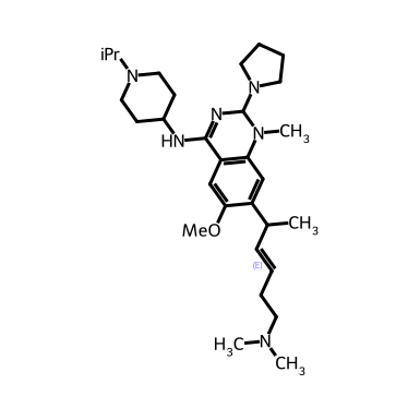 COc1cc2c(cc1C(C)/C=C/CCN(C)C)N(C)C(N1CCCC1)N=C2NC1CCN(C(C)C)CC1